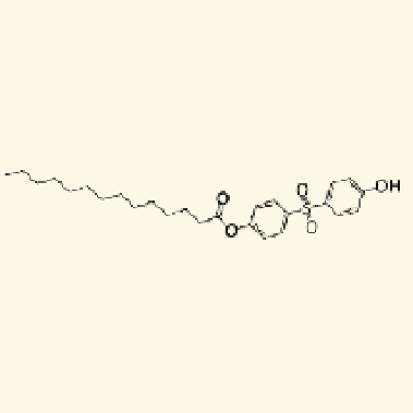 CCCCCCCCCCCCCC(=O)Oc1ccc(S(=O)(=O)c2ccc(O)cc2)cc1